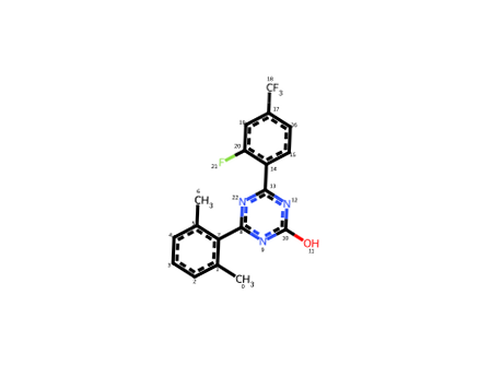 Cc1cccc(C)c1-c1nc(O)nc(-c2ccc(C(F)(F)F)cc2F)n1